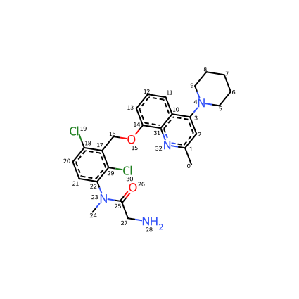 Cc1cc(N2CCCCC2)c2cccc(OCc3c(Cl)ccc(N(C)C(=O)CN)c3Cl)c2n1